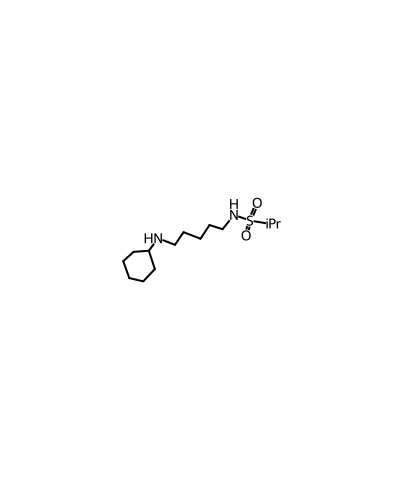 CC(C)S(=O)(=O)NCCCCCNC1CCCCC1